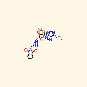 CC1(C)O[C@@H]2[C@@H](CNCCCN3C(=O)c4ccccc4C3=O)OC(n3cnc4c(N)ncnc43)[C@@H]2O1